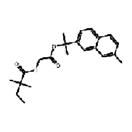 CCC(C)(C)C(=O)OCC(=O)OC(C)(C)c1ccc2ccc(C)cc2c1